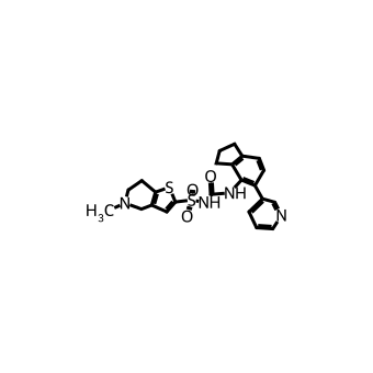 CN1CCc2sc(S(=O)(=O)NC(=O)Nc3c(-c4cccnc4)ccc4c3CCC4)cc2C1